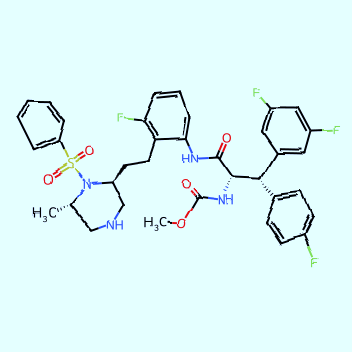 COC(=O)N[C@H](C(=O)Nc1cccc(F)c1CC[C@H]1CNC[C@H](C)N1S(=O)(=O)c1ccccc1)[C@@H](c1ccc(F)cc1)c1cc(F)cc(F)c1